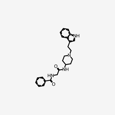 O=C(CNC(=O)c1ccccc1)NC1CCN(CCc2c[nH]c3ccccc23)CC1